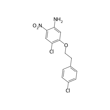 Nc1cc(OCCc2ccc(Cl)cc2)c(Cl)cc1[N+](=O)[O-]